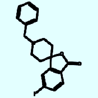 O=C1OC2(CCN(Cc3ccccc3)CC2)c2cc(F)ccc21